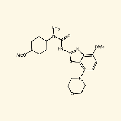 COc1ccc(N2CCOCC2)c2sc(NC(=O)N(C)C3CCC(OC)CC3)nc12